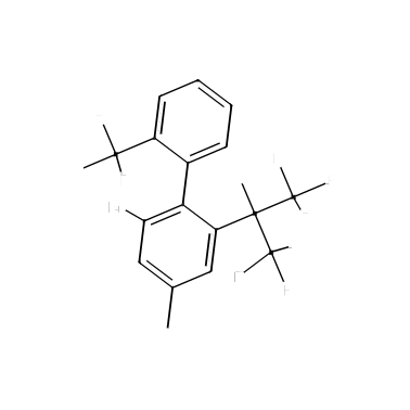 Cc1[c]c(Br)c(-c2ccccc2C(F)(F)F)c(C(F)(C(F)(F)F)C(F)(F)F)c1